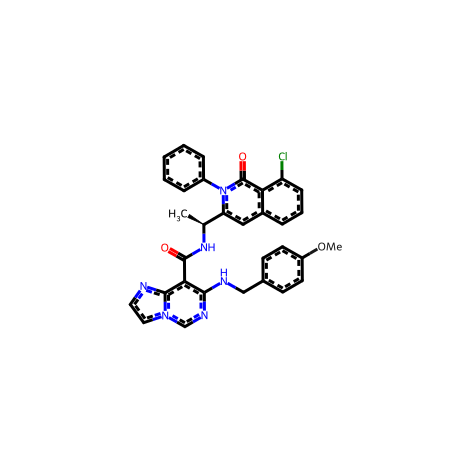 COc1ccc(CNc2ncn3ccnc3c2C(=O)N[C@@H](C)c2cc3cccc(Cl)c3c(=O)n2-c2ccccc2)cc1